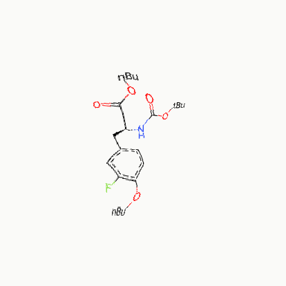 CCCCOC(=O)[C@H](Cc1ccc(OCCCC)c(F)c1)NC(=O)OC(C)(C)C